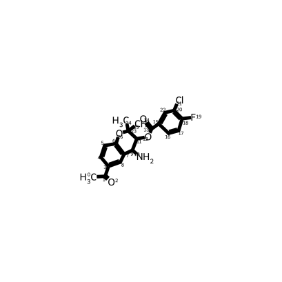 CC(=O)c1ccc2c(c1)C(N)C(OC(=O)c1ccc(F)c(Cl)c1)C(C)(C)O2